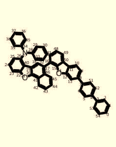 c1ccc(-c2ccc(-c3ccc4c(c3)oc3c(-c5cc6c(oc7cccc(N(c8ccccc8)c8ccccc8)c76)c6ccccc56)cccc34)cc2)cc1